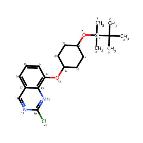 CC(C)(C)[Si](C)(C)OC1CCC(Oc2cccc3cnc(Cl)nc23)CC1